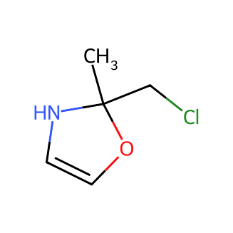 CC1(CCl)NC=CO1